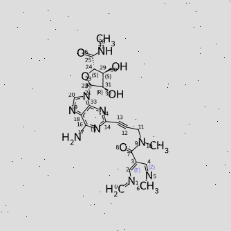 C=N/C=C(\C=N/C)C(=O)N(C)CC#Cc1nc(N)c2ncn([C@@H]3O[C@H](C(=O)NC)[C@@H](O)[C@H]3O)c2n1